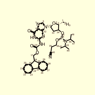 [2H]C[C@H]1O[C@@H](n2cnc3c(=O)[nH]c(NC(=O)OCC4c5ccccc5-c5ccccc54)nc32)CC1OP(OCCC#N)N(C(C)C)C(C)C